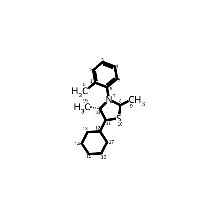 Cc1ccccc1N1C(C)SC(C2CCCCC2)[C@@H]1C